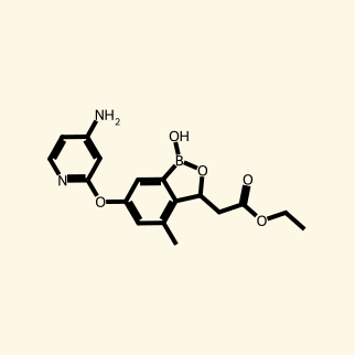 CCOC(=O)CC1OB(O)c2cc(Oc3cc(N)ccn3)cc(C)c21